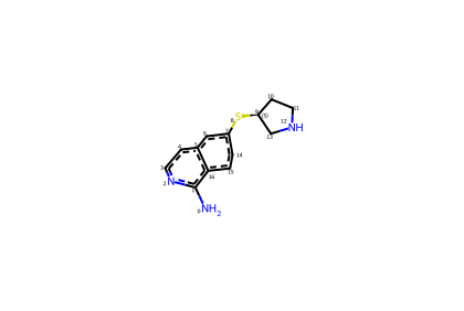 Nc1nccc2cc(S[C@H]3CCNC3)ccc12